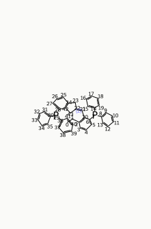 CCc1cccc(P(c2ccccc2)c2ccccc2)c1/C=C1/Cc2cccc(P(c3ccccc3)c3ccccc3)c2C1